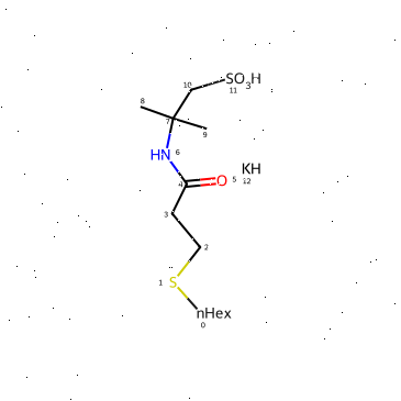 CCCCCCSCCC(=O)NC(C)(C)CS(=O)(=O)O.[KH]